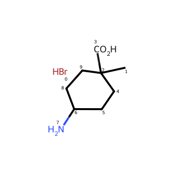 Br.CC1(C(=O)O)CCC(N)CC1